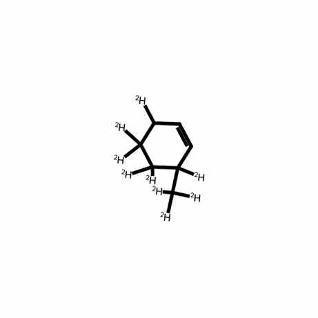 [2H]C1C=CC([2H])(C([2H])([2H])[2H])C([2H])([2H])C1([2H])[2H]